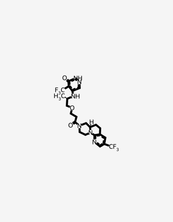 C[C@@H](COCCC(=O)N1CCN2c3ncc(C(F)(F)F)cc3CC[C@@H]2C1)Nc1cn[nH]c(=O)c1C(F)(F)F